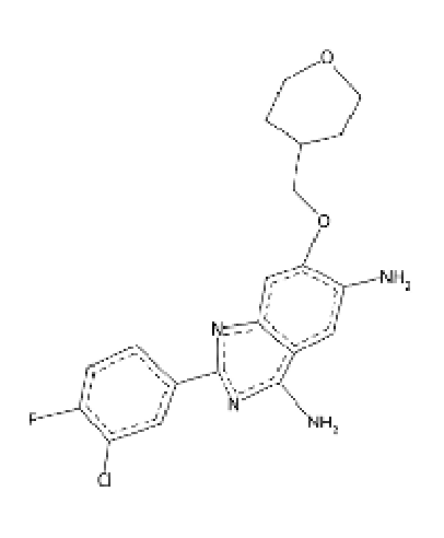 Nc1cc2c(N)nc(-c3ccc(F)c(Cl)c3)nc2cc1OCC1CCOCC1